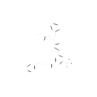 CN(c1cc(C(=O)NCCc2ccc(F)cc2)cc(-c2cc([C@](C)(Cc3ccccc3)NC(=O)OC(C)(C)C)no2)c1)S(C)(=O)=O